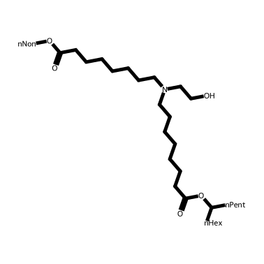 CCCCCCCCCOC(=O)CCCCCCCN(CCO)CCCCCCCC(=O)OC(CCCCC)CCCCCC